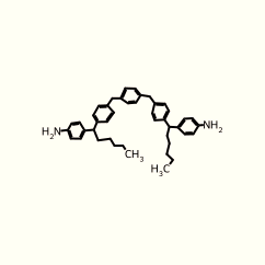 CCCCCC(c1ccc(N)cc1)c1ccc(Cc2ccc(Cc3ccc(C(CCCCC)c4ccc(N)cc4)cc3)cc2)cc1